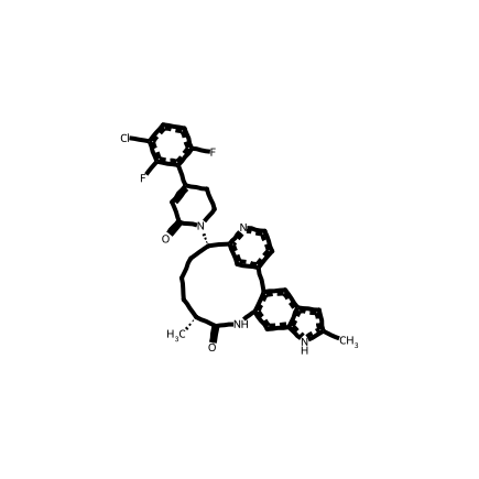 Cc1cc2cc3c(cc2[nH]1)NC(=O)[C@H](C)CCC[C@H](N1CCC(c2c(F)ccc(Cl)c2F)=CC1=O)c1cc-3ccn1